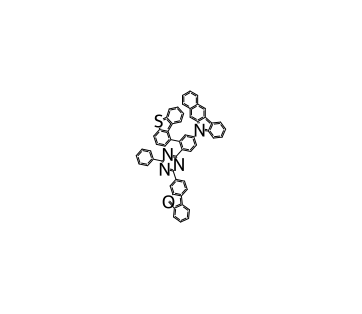 c1ccc(-c2nc(-c3ccc4c(c3)oc3ccccc34)nc(-c3ccc(-n4c5ccccc5c5cc6ccccc6cc54)cc3-c3cccc4sc5ccccc5c34)n2)cc1